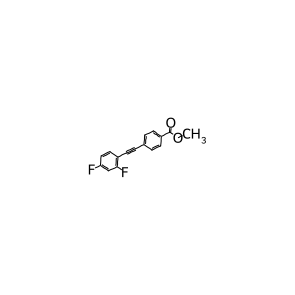 COC(=O)c1ccc(C#Cc2ccc(F)cc2F)cc1